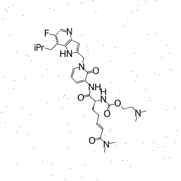 CC(C)Cc1c(F)cnc2cc(Cn3cccc(NC(=O)[C@H](CC/C=C/C(=O)N(C)C)NC(=O)OCCN(C)C)c3=O)[nH]c12